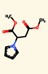 COC(=O)CC(C(=O)OC)n1cccc1